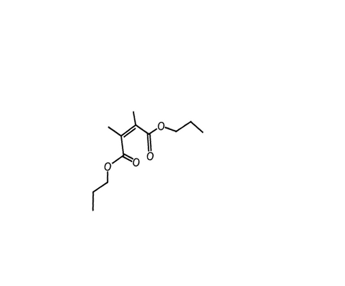 CCCOC(=O)/C(C)=C(/C)C(=O)OCCC